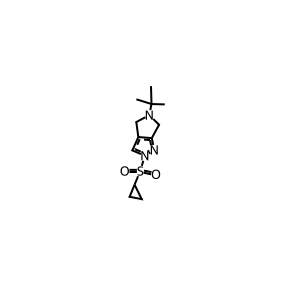 CC(C)(C)N1Cc2cn(S(=O)(=O)C3CC3)nc2C1